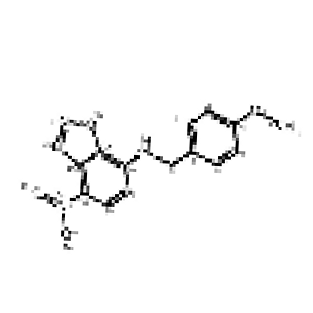 COc1ccc(CNc2ccc([N+](=O)[O-])c3nnoc23)cc1